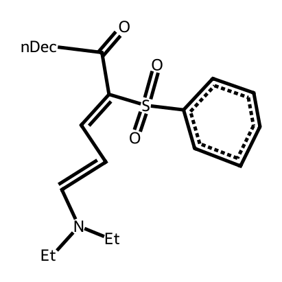 CCCCCCCCCCC(=O)/C(=C/C=C/N(CC)CC)S(=O)(=O)c1ccccc1